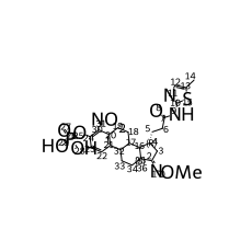 CON=C1C[C@@H](CCC(=O)Nc2ncc(C)s2)C2C3CCc4c(ccc(OP(=O)(O)O)c4[N+](=O)[O-])C3CC[C@]12C